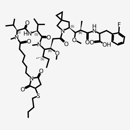 CCCCSC1CC(=O)N(CCCCCC(=O)N(C)[C@H](C(=O)N[C@H](C(=O)N(C)C([C@@H](C)CC)[C@@H](CC(=O)N2CC3(CC3)C[C@H]2C(OC)[C@@H](C)C(=O)NC(Cc2ccccc2F)C(=O)O)OC)C(C)C)C(C)C)C1=O